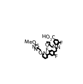 COc1nnc(COc2cccc(-c3cc(F)c(Cc4nc5c(F)cc(C(=O)O)cc5n4CC4CCO4)cc3F)n2)s1